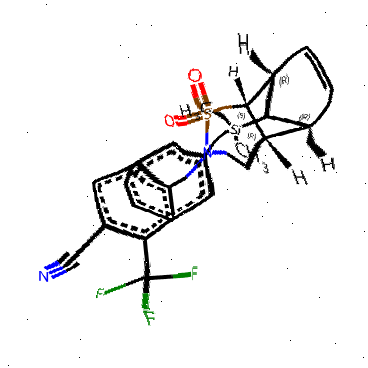 C[Si](C)(c1ccccc1)C1[C@H]2C=C[C@@H]1[C@@H]1CN(c3ccc(C#N)c(C(F)(F)F)c3)S(=O)(=O)[C@@H]12